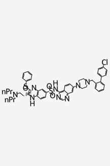 CCCN(CCC)CC[C@H](CSc1ccccc1)Nc1ccc(S(=O)(=O)Nc2ncnc3cc(N4CCN(Cc5ccccc5-c5ccc(Cl)cc5)CC4)ccc23)cc1[N+](=O)[O-]